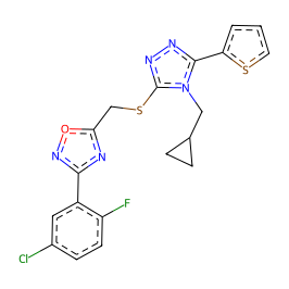 Fc1ccc(Cl)cc1-c1noc(CSc2nnc(-c3cccs3)n2CC2CC2)n1